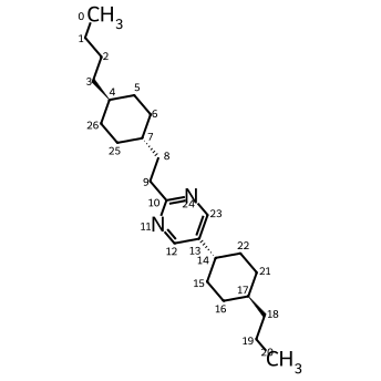 CCCC[C@H]1CC[C@H](CCc2ncc([C@H]3CC[C@H](CCC)CC3)cn2)CC1